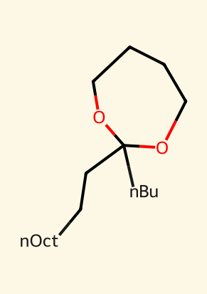 CCCCCCCCCCC1(CCCC)OCCCCO1